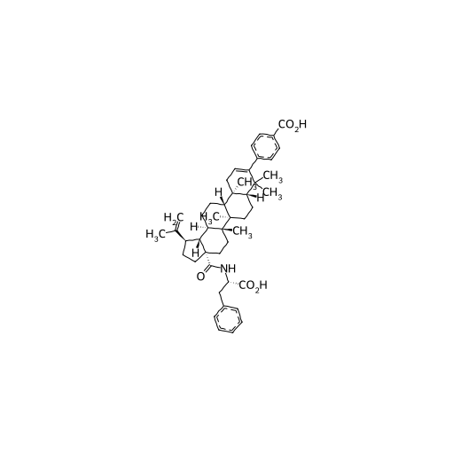 C=C(C)[C@@H]1CC[C@]2(C(=O)N[C@@H](Cc3ccccc3)C(=O)O)CC[C@]3(C)[C@H](CC[C@@H]4[C@@]5(C)CC=C(c6ccc(C(=O)O)cc6)C(C)(C)[C@@H]5CC[C@]43C)[C@@H]12